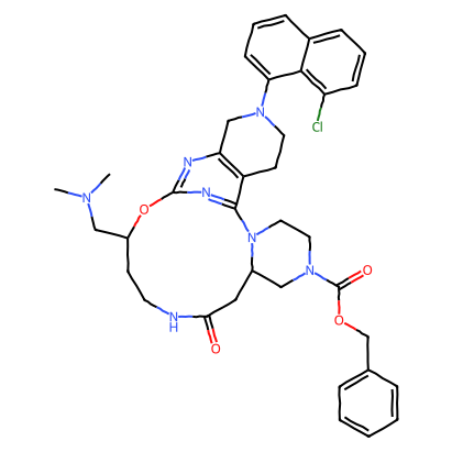 CN(C)CC1CCNC(=O)CC2CN(C(=O)OCc3ccccc3)CCN2c2nc(nc3c2CCN(c2cccc4cccc(Cl)c24)C3)O1